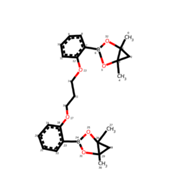 CC12CC1(C)OB(c1ccccc1OCCCOc1ccccc1B1OC3(C)CC3(C)O1)O2